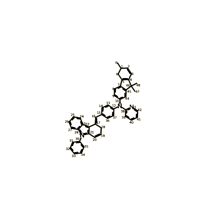 CC1C=CC2=C(C1)c1ccc(N(c3ccc(/C=C4\CC=Cc5c4c4ccccc4n5-c4ccccc4)cc3)c3ccccn3)cc1C2(C)C